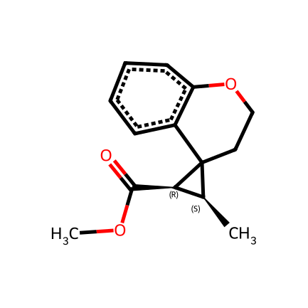 COC(=O)[C@@H]1[C@H](C)C12CCOc1ccccc12